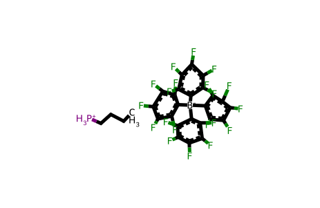 CCCC[PH3+].Fc1c(F)c(F)c([B-](c2c(F)c(F)c(F)c(F)c2F)(c2c(F)c(F)c(F)c(F)c2F)c2c(F)c(F)c(F)c(F)c2F)c(F)c1F